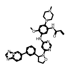 C=CC(=O)Nc1cc(Nc2cc(N3OCCC3c3cccc(-c4ccc5ncnn5c4)c3)ncn2)c(OC)cc1N1CCN(C)CC1